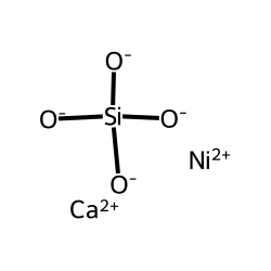 [Ca+2].[Ni+2].[O-][Si]([O-])([O-])[O-]